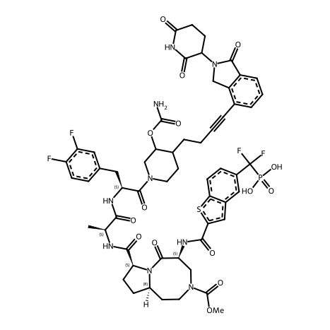 COC(=O)N1CC[C@H]2CC[C@@H](C(=O)N[C@@H](C)C(=O)N[C@@H](Cc3ccc(F)c(F)c3)C(=O)N3CCC(CCC#Cc4cccc5c4CN(C4CCC(=O)NC4=O)C5=O)C(OC(N)=O)C3)N2C(=O)[C@@H](NC(=O)c2cc3cc(C(F)(F)P(=O)(O)O)ccc3s2)C1